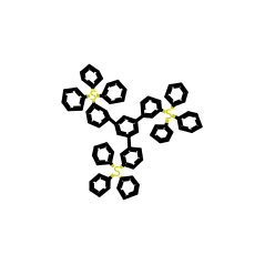 c1ccc(S(c2ccccc2)(c2ccccc2)c2cccc(-c3cc(-c4cccc(S(c5ccccc5)(c5ccccc5)c5ccccc5)c4)cc(-c4cccc(S(c5ccccc5)(c5ccccc5)c5ccccc5)c4)c3)c2)cc1